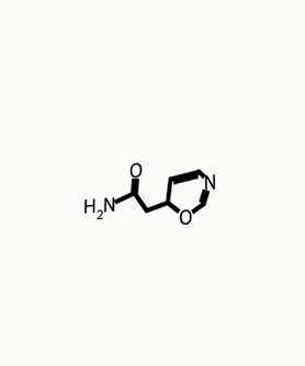 NC(=O)CC1C=CN=CO1